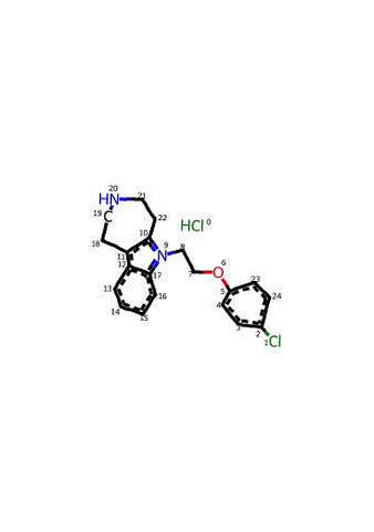 Cl.Clc1ccc(OCCn2c3c(c4ccccc42)CCNCC3)cc1